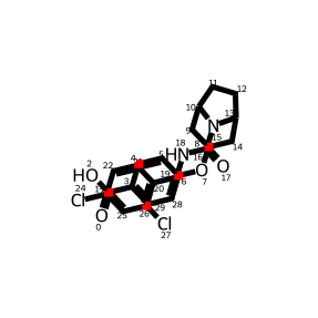 O=C(O)c1ccc(OC2CC3CCC(C2)N3C(=O)NCc2ccc(Cl)cc2Cl)cc1